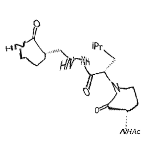 CC(=O)N[C@H]1CCN([C@@H](CC(C)C)C(=O)NNC[C@@H]2CCNC2=O)C1=O